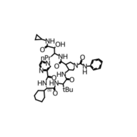 CCCC(NC(=O)C1CN(C(=O)Nc2ccccc2)CC1NC(=O)C(NC(=O)[C@@H](NC(=O)c1cnccn1)C1CCCCC1)C(C)(C)C)C(O)C(=O)NC1CC1